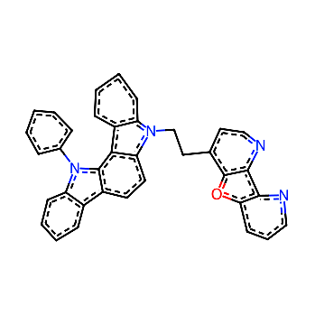 c1ccc(-n2c3ccccc3c3ccc4c(c5ccccc5n4CCc4ccnc5c4oc4cccnc45)c32)cc1